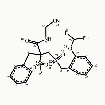 CS(=O)(=O)C(Cc1ccccc1)(CS(=O)(=O)Cc1ccccc1OC(F)F)C(=O)NCC#N